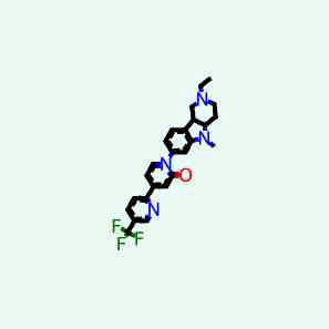 CCN1CCC2C(C1)c1ccc(-n3ccc(-c4ccc(C(F)(F)F)cn4)cc3=O)cc1N2C